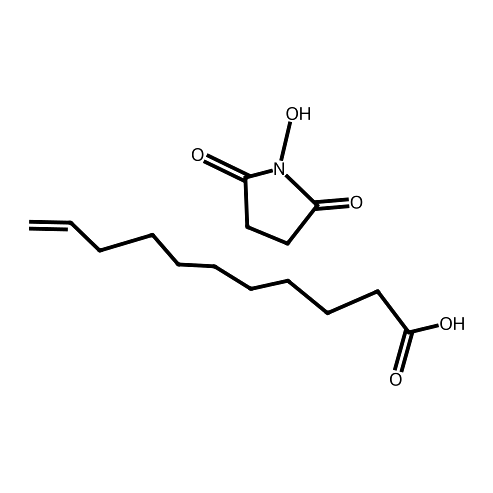 C=CCCCCCCCCC(=O)O.O=C1CCC(=O)N1O